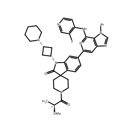 CO[C@@H](C)C(=O)N1CCC2(CC1)C(=O)N([C@H]1C[C@@H](N3CCCCC3)C1)c1cc(-c3cc4ncn(C(C)C)c4c(Nc4ccncc4F)n3)ccc12